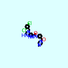 CN1CCN(C(=O)c2cccc(NC(=O)c3cc4c(nn3)NCCN4Cc3cc(Cl)ccc3Cl)c2)CC1